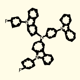 Fc1ccc(-n2c3ccccc3c3cc(N(c4ccc(-n5c6ccccc6c6ccccc65)cc4)c4ccc5c(c4)c4ccccc4n5-c4ccc(F)cc4)ccc32)cc1